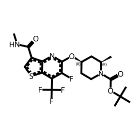 CNC(=O)c1csc2c(C(F)(F)F)c(F)c(O[C@@H]3CCN(C(=O)OC(C)(C)C)[C@H](C)C3)nc12